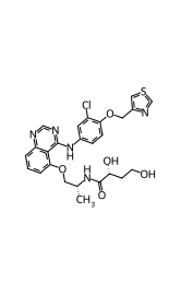 C[C@H](COc1cccc2ncnc(Nc3ccc(OCc4cscn4)c(Cl)c3)c12)NC(=O)[C@H](O)CCO